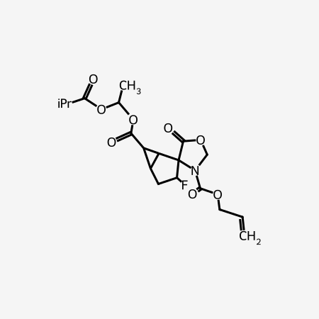 C=CCOC(=O)N1COC(=O)C12C(F)CC1C(C(=O)OC(C)OC(=O)C(C)C)C12